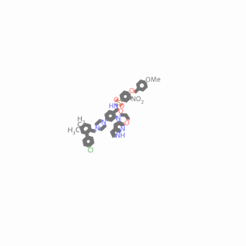 COC1CCC(COc2ccc(S(=O)(=O)NC(=O)c3ccc(N4CCN(CC5=C(c6ccc(Cl)cc6)CC(C)(C)CC5)CC4)cc3N3CCCOc4nc5[nH]ccc5cc43)cc2[N+](=O)[O-])CC1